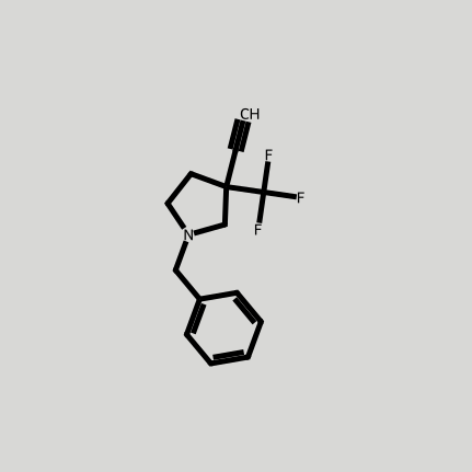 C#CC1(C(F)(F)F)CCN(Cc2ccccc2)C1